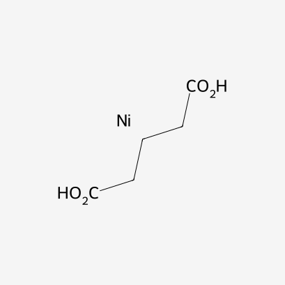 O=C(O)CCCC(=O)O.[Ni]